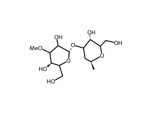 COC1C(O)[C@H](OC2C[C@H](C)OC(CO)[C@H]2O)OC(CO)[C@H]1O